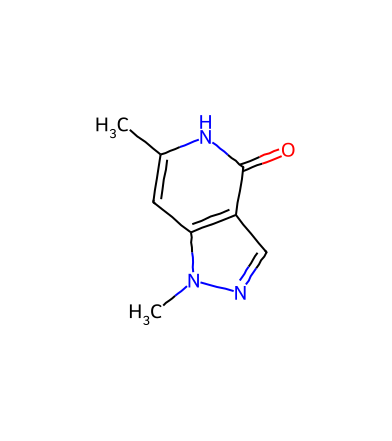 Cc1cc2c(cnn2C)c(=O)[nH]1